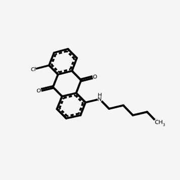 CCCCCNc1cccc2c1C(=O)c1cccc(Cl)c1C2=O